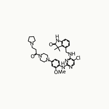 COc1cc(N2CCN(C(=O)CCN3CCCC3)CC2)ccc1Nc1ncc(Cl)c(NCc2cccc3c2C(C)(C)C(=O)N3)n1